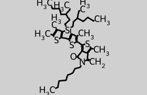 C=C1c2c(C)sc(-c3sc4c(c3C)[Si](CCC(CC)CCCC)(CCC(CC)CCCC)c3c-4sc(C)c3C)c2C(=O)N1CCCCCCCC